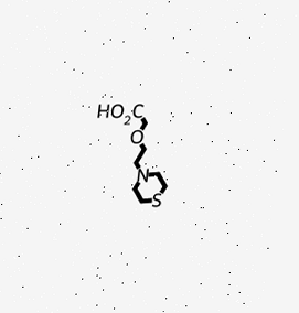 O=C(O)COCCN1CCSCC1